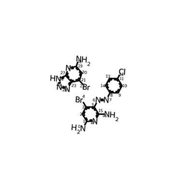 Nc1cc(Br)c(N=Nc2ccc(Cl)cc2)c(N)n1.Nc1cc(Br)c2nn[nH]c2n1